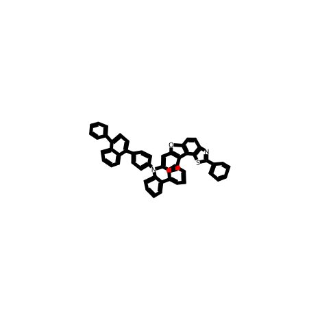 c1ccc(-c2nc3ccc4oc5cc(N(c6ccc(-c7ccc(-c8ccccc8)c8ccccc78)cc6)c6ccccc6-c6ccccc6)ccc5c4c3s2)cc1